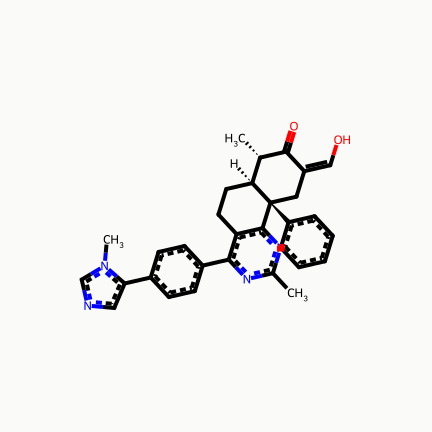 Cc1nc(-c2ccc(-c3cncn3C)cc2)c2c(n1)[C@@]1(c3ccccc3)CC(=CO)C(=O)[C@@H](C)[C@@H]1CC2